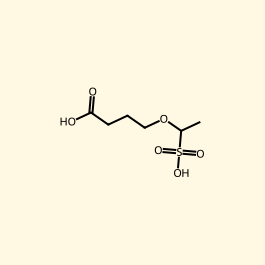 CC(OCCCC(=O)O)S(=O)(=O)O